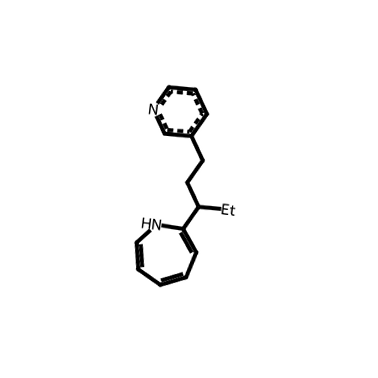 CCC(CCc1cccnc1)C1=CC=CC=CN1